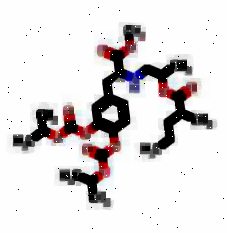 CCCC(C)C(=O)OC(C)CN[C@@H](Cc1ccc(OC(=O)OC(C)C)c(OC(=O)OC(C)C)c1)C(=O)OC